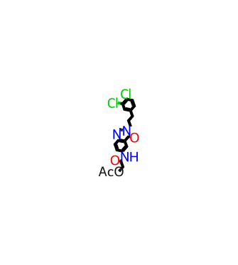 CC(=O)OCC(=O)Nc1ccc2ncn(CCCc3ccc(Cl)c(Cl)c3)c(=O)c2c1